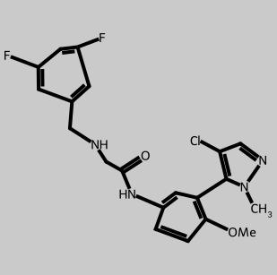 COc1ccc(NC(=O)CNCc2cc(F)cc(F)c2)cc1-c1c(Cl)cnn1C